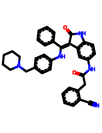 N#Cc1ccccc1CC(=O)Nc1ccc2c(c1)C(=C(Nc1ccc(CN3CCCCC3)cc1)c1ccccc1)C(=O)N2